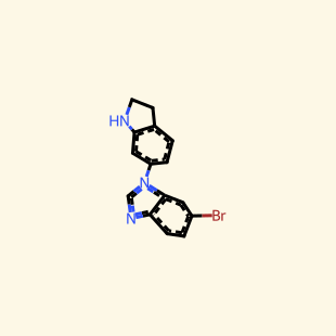 Brc1ccc2ncn(-c3ccc4c(c3)NCC4)c2c1